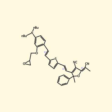 [C-]#[N+]C1=C(/C=C/c2ccc(/C=C/c3ccc(N(CCCC)CCCC)cc3OCC3CO3)s2)C(C)(c2ccccc2)O/C1=C(\C)C#N